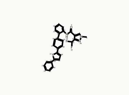 Cn1cc(C(=O)Nc2ccccc2-c2ccc(-c3ccc(-c4ccccc4)s3)cc2)c(C(F)F)n1